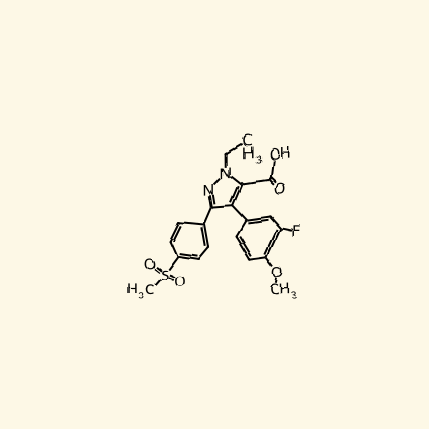 CCn1nc(-c2ccc(S(C)(=O)=O)cc2)c(-c2ccc(OC)c(F)c2)c1C(=O)O